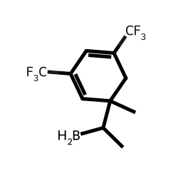 BC(C)C1(C)C=C(C(F)(F)F)C=C(C(F)(F)F)C1